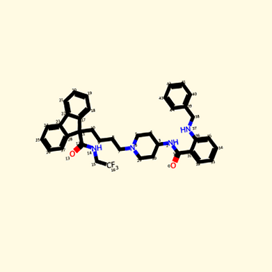 O=C(NC1CCN(CCCCC2(C(=O)NCC(F)(F)F)c3ccccc3-c3ccccc32)CC1)c1ccccc1NCc1ccccc1